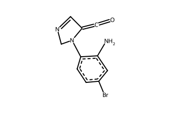 Nc1cc(Br)ccc1N1CN=CC1=C=O